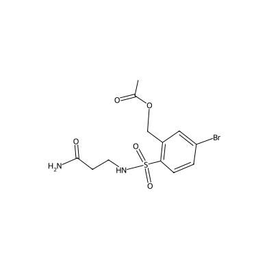 CC(=O)OCc1cc(Br)ccc1S(=O)(=O)NCCC(N)=O